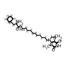 CN1CN(CCCCCCCCCCCNC(=O)C(N)Cc2ccccc2)c2c1c(=O)[nH]c(=O)n2C